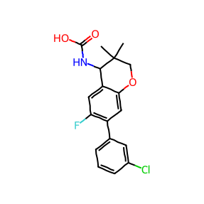 CC1(C)COc2cc(-c3cccc(Cl)c3)c(F)cc2C1NC(=O)O